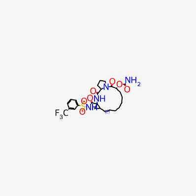 NC(=O)OC1CCCCC/C=C/C2CC2(C(=O)NS(=O)(=O)c2cccc(C(F)(F)F)c2)NC(=O)C2CCCN2C1=O